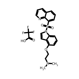 CN(C)CCOc1cccc2c1ccn2S(=O)(=O)c1cccc2cccnc12.O=C(O)C(F)(F)F